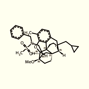 CO[C@]12CC[C@@]3(C[C@@H]1CN(Cc1ccccc1)S(C)(=O)=O)[C@H]1Cc4ccc(C)c5c4[C@@]3(CCN1CC1CC1)[C@H]2O5